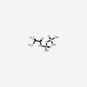 C=C(C)C(=O)NP(=O)(O)OP(=O)(O)O